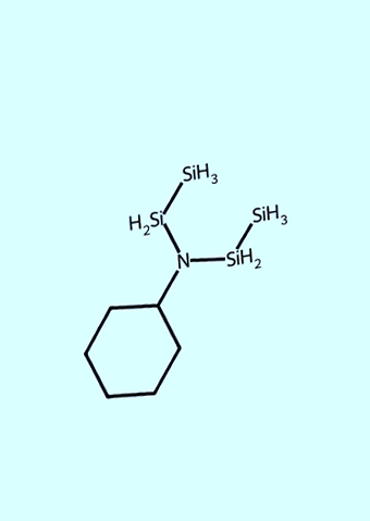 [SiH3][SiH2]N([SiH2][SiH3])C1CCCCC1